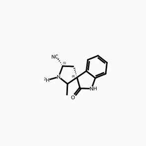 [2H]N1C(C)[C@]2(C[C@H]1C#N)C(=O)Nc1ccccc12